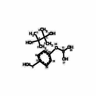 CC(C)(O)C(C)(C)O.OCc1ccc(OB(O)O)cc1